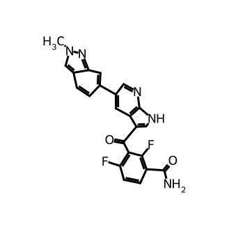 Cn1cc2ccc(-c3cnc4[nH]cc(C(=O)c5c(F)ccc(C(N)=O)c5F)c4c3)cc2n1